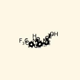 O=C1Nc2cc(OC(F)(F)F)ccc2Oc2ccc(-c3cccc(OCCO)n3)cc21